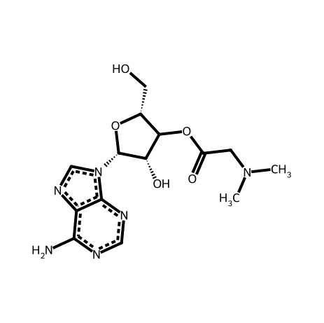 CN(C)CC(=O)OC1[C@@H](CO)O[C@@H](n2cnc3c(N)ncnc32)[C@H]1O